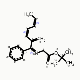 C=C(/C=C\C=C/C)/C(=N\CC(=O)OC(C)(C)C)c1ccccc1